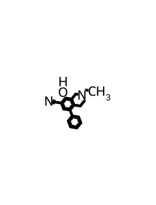 CCN1CCc2c(-c3ccccc3)cc(C#N)c(O)c2C1